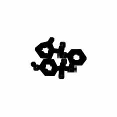 COc1ccc(S(=O)(=O)Nc2ccccc2NC(=O)c2ccccc2C)cc1